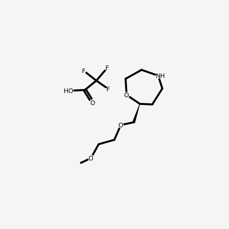 COCCOC[C@@H]1CCNCCO1.O=C(O)C(F)(F)F